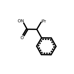 CC(C)C(C(=O)N=O)c1ccccc1